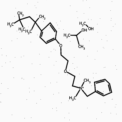 CC(C)(C)CC(C)(C)c1ccc(OCCOCC[N+](C)(C)Cc2ccccc2)cc1.CC(C)O.CO